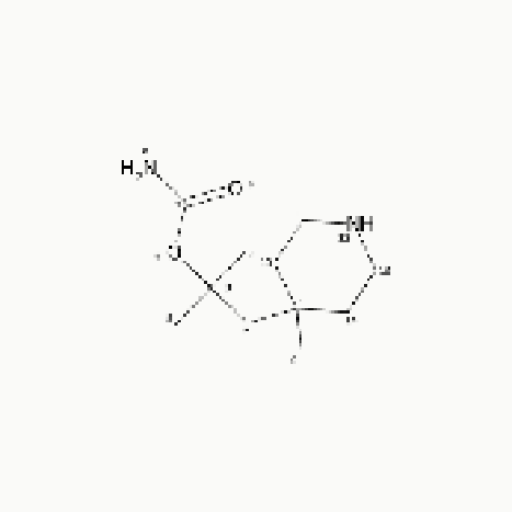 CC1(CC(C)(C)OC(N)=O)CCNCC1